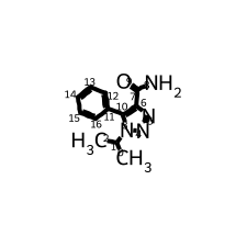 CC(C)n1nnc(C(N)=O)c1-c1ccccc1